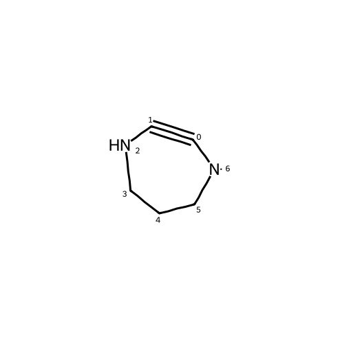 C1#CNCCC[N]1